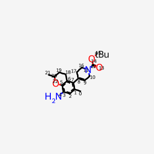 Cc1cc(N)c2c(c1C1=CCN(C(=O)OC(C)(C)C)CC1)CCC(C)O2